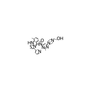 Cc1nc(NC(=O)c2ccc(C)c(Nc3nc(-c4cccnc4)cs3)c2)cc(N2CCN(CCO)CC2)n1